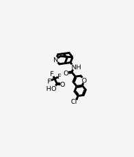 O=C(NC1C2CC3CC1CN(C3)C2)C1=Cc2cc(Cl)ccc2OC1.O=C(O)C(F)(F)F